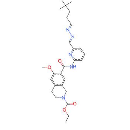 CCOC(=O)N1CCc2cc(OC)c(C(=O)Nc3cccc(/C=N/N=C/CCC(C)(C)C)n3)cc2C1